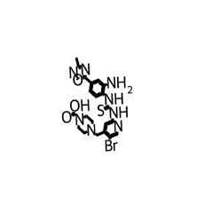 Cc1noc(-c2ccc(NC(=S)Nc3cc(CN4CCN(C(=O)O)CC4)c(Br)cn3)c(N)c2)n1